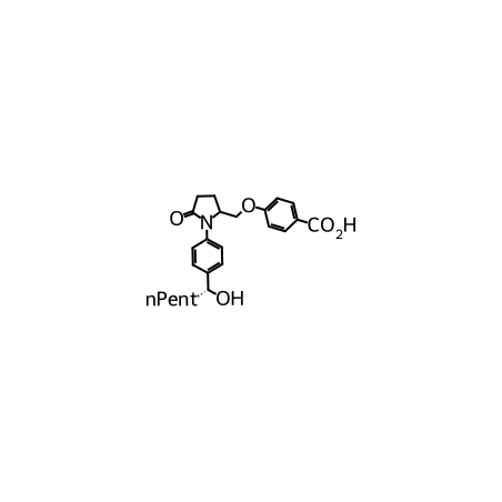 CCCCC[C@@H](O)c1ccc(N2C(=O)CCC2COc2ccc(C(=O)O)cc2)cc1